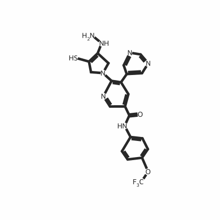 NNC1=C(S)CN(c2ncc(C(=O)Nc3ccc(OC(F)(F)F)cc3)cc2-c2cncnc2)C1